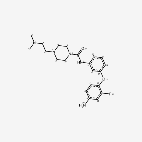 CN(C)CCN1CCN(C(=O)Nc2cc(Oc3ccc(N)cc3F)ccn2)CC1